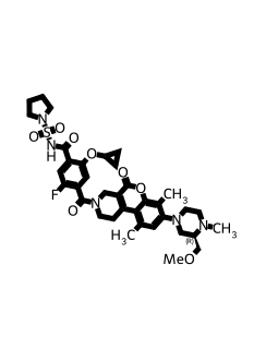 COC[C@H]1CN(c2cc(C)c3c4c(c(=O)oc3c2C)CN(C(=O)c2cc(OC3CC3)c(C(=O)NS(=O)(=O)N3CCCC3)cc2F)CC4)CCN1C